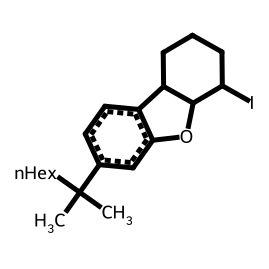 CCCCCCC(C)(C)c1ccc2c(c1)OC1C(I)CCCC21